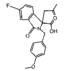 C=C(C)CC1(C(=O)O)c2ccc(F)cc2C(=O)N1Cc1ccc(OC)cc1